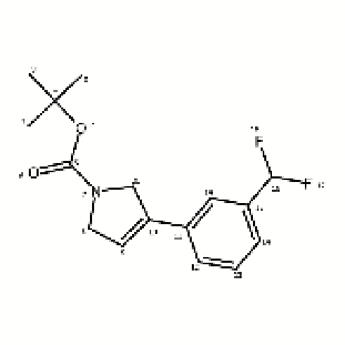 CC(C)(C)OC(=O)N1CC=C(c2cccc(C(F)F)c2)C1